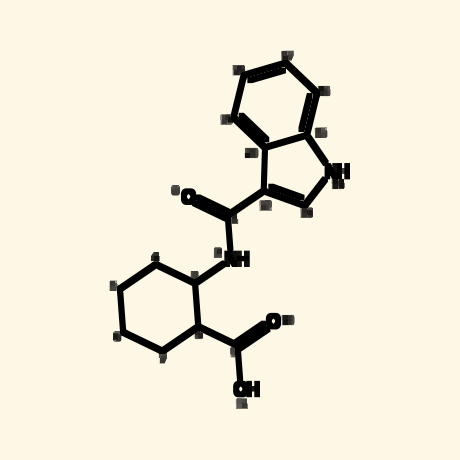 O=C(NC1CCCCC1C(=O)O)c1c[nH]c2ccccc12